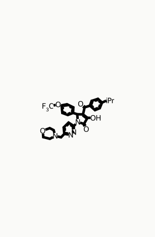 CC(C)c1ccc(C(=O)C2=C(O)C(=O)N(c3ccc(CN4CCOCC4)nn3)C2c2ccc(OC(F)(F)F)cc2)cc1